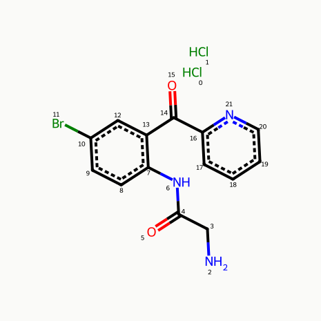 Cl.Cl.NCC(=O)Nc1ccc(Br)cc1C(=O)c1ccccn1